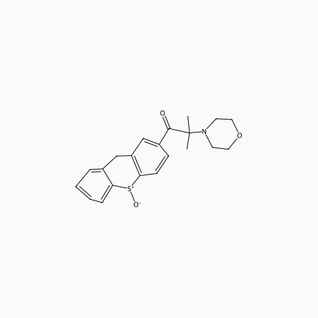 CC(C)(C(=O)c1ccc2c(c1)Cc1ccccc1[S+]2[O-])N1CCOCC1